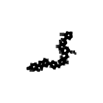 C[C@H]1CN2c3cc(-c4ccccc4O)nnc3NC[C@H]2CN1CC1[C@H]2CN(CC3CCN(c4ccc5c(c4)C(=O)N(C4CCC(=O)NC4=O)C5)CC3)C[C@@H]12